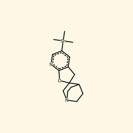 [CH3][Sn]([CH3])([CH3])[c]1cnc2c(c1)CC1(CN3CCC1CC3)O2